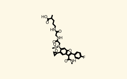 CNC(=O)c1c(-c2ccc(F)cc2)oc2cc(N(CC(=O)NCC(=O)NCCCC(C)C(=O)O)S(C)(=O)=O)c(C3CC3)cc12